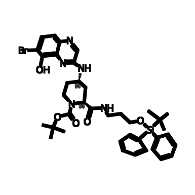 CC(C)(C)OC(=O)N1CC[C@H](Nc2cnc3ccc(Br)c(O)c3n2)C[C@H]1C(=O)NCCCO[Si](c1ccccc1)(c1ccccc1)C(C)(C)C